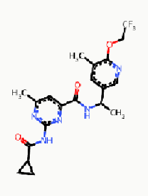 Cc1cc(C(=O)NC(C)c2cnc(OCC(F)(F)F)c(C)c2)nc(NC(=O)C2CC2)n1